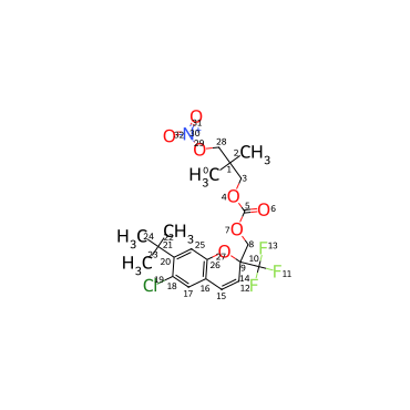 CC(C)(COC(=O)OCC1(C(F)(F)F)C=Cc2cc(Cl)c(C(C)(C)C)cc2O1)CO[N+](=O)[O-]